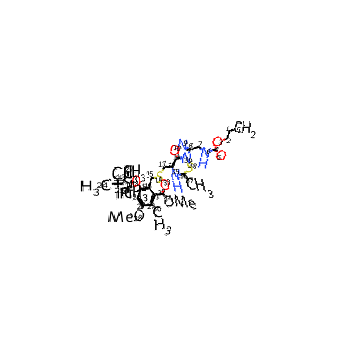 C=CCOC(=O)NCc1noc(C(CSCc2c(O[Si](C)(C)C(C)(C)C(C)C)cc(OC)c(C)c2C(=O)OC)NC(C)=S)n1